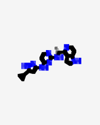 C[C@@H](Nc1nccc(Nc2cc(C3CC3)[nH]n2)n1)c1nccc2[nH]ccc12